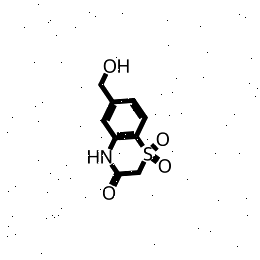 O=C1CS(=O)(=O)c2ccc(CO)cc2N1